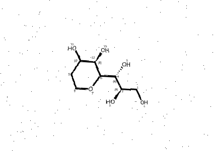 OC[C@@H](O)[C@@H](O)C1OCCC(O)[C@H]1O